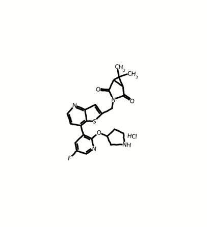 CC1(C)C2C(=O)N(Cc3cc4nccc(-c5cc(F)cnc5OC5CCNC5)c4s3)C(=O)C21.Cl